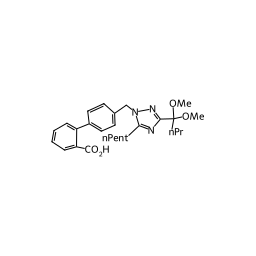 CCCCCc1nc(C(CCC)(OC)OC)nn1Cc1ccc(-c2ccccc2C(=O)O)cc1